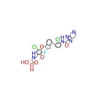 COc1c(CN[C@@H](CO)C(=O)O)cc(Cl)c(OC2CCc3c(-c4cccc(NC(=O)c5nc6c(n5C)CCN(C)C6)c4Cl)cccc32)c1F